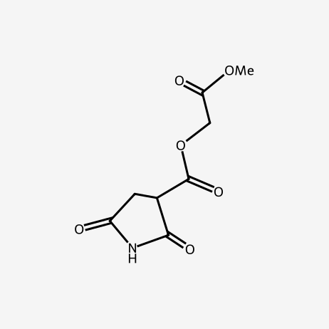 COC(=O)COC(=O)C1CC(=O)NC1=O